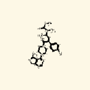 CC1SCc2ncnc(N3CCN(C(=O)C(CC(C)N(C)C(=O)OC(C)(C)C)c4ccc(Cl)cc4)CC3)c21